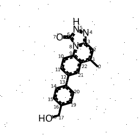 Cc1cc2n[nH]c(=O)n2c2ccc(-c3ccc(CO)cc3)cc12